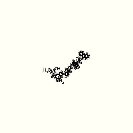 CCCN(CCC)C(=O)C1=Cc2ccc(-c3cccc(S(=O)(=O)N4CC(CNC(=O)C(CS(=O)(=O)O)NC(=O)OCC5c6ccccc6-c6ccccc65)C4)c3)cc2N=C(N)C1